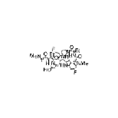 CC[C@H](NC(=O)[C@H](C)NC)C(=O)N1C[C@@H](O)C[C@H]1Cc1c(-c2[nH]c3cc(F)ccc3c2C[C@@H]2C3CCC(C3)N2C(=O)[C@H](CC)NC(=O)[C@H](C)NC)[nH]c2cc(F)ccc12